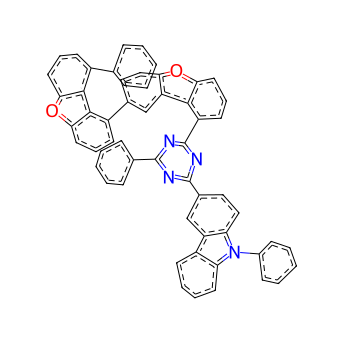 c1ccc(-c2nc(-c3ccc4c(c3)c3ccccc3n4-c3ccccc3)nc(-c3cccc4oc5ccc(-c6cccc7oc8cccc(-c9ccccc9)c8c67)cc5c34)n2)cc1